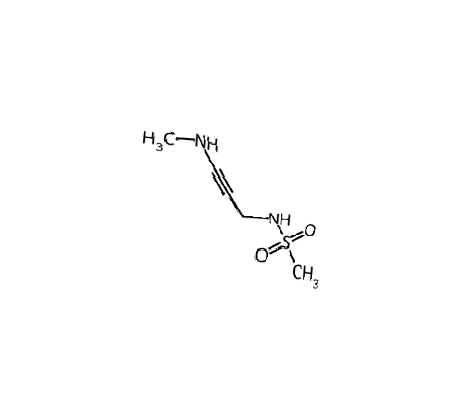 CNC#CCNS(C)(=O)=O